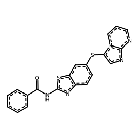 O=C(Nc1nc2ccc(Sc3cnc4ncccn34)cc2s1)c1ccccc1